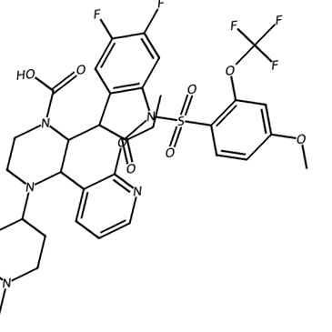 CCOc1ncccc1C1C(C2C(=O)N(S(=O)(=O)c3ccc(OC)cc3OC(F)(F)F)c3cc(F)c(F)cc32)N(C(=O)O)CCN1C1CCN(C)CC1